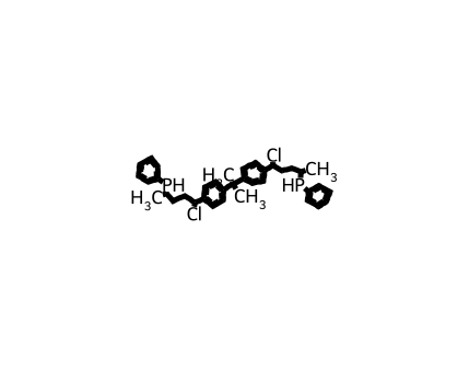 CC(CCC(Cl)c1ccc(C(C)(C)c2ccc(C(Cl)CCC(C)Pc3ccccc3)cc2)cc1)Pc1ccccc1